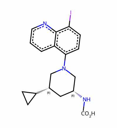 O=C(O)N[C@@H]1C[C@H](C2CC2)CN(c2ccc(I)c3ncccc23)C1